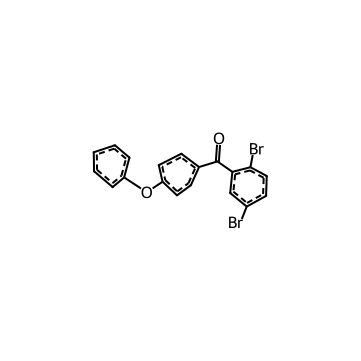 O=C(c1ccc(Oc2ccccc2)cc1)c1cc(Br)ccc1Br